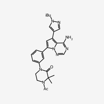 CCC(C)n1cc(-c2cc(-c3cccc(N4CCN(C(C)=O)C(C)(C)C4=O)c3)n3ncnc(N)c23)cn1